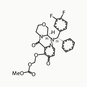 COC(=O)OCOc1c2n(ccc1=O)N([C@@H](c1ccccc1)c1ccc(F)c(F)c1)[C@@H]1COCCN1C2=O